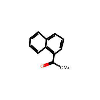 COC(=O)c1cccc2[c]cccc12